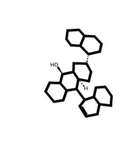 O[C@@H]1C2CCCCC2C(C2C=CCC3CCCCC32)[C@@H]2CCC([C@H]3CCCC4CCCCC43)CC12